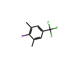 Cc1cc(C(F)(F)F)cc(C)c1I